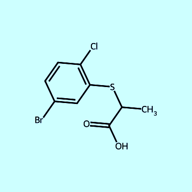 CC(Sc1cc(Br)ccc1Cl)C(=O)O